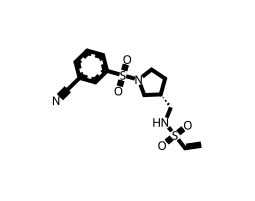 C=CS(=O)(=O)NC[C@H]1CCN(S(=O)(=O)c2cccc(C#N)c2)C1